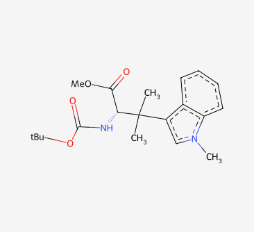 COC(=O)[C@@H](NC(=O)OC(C)(C)C)C(C)(C)c1cn(C)c2ccccc12